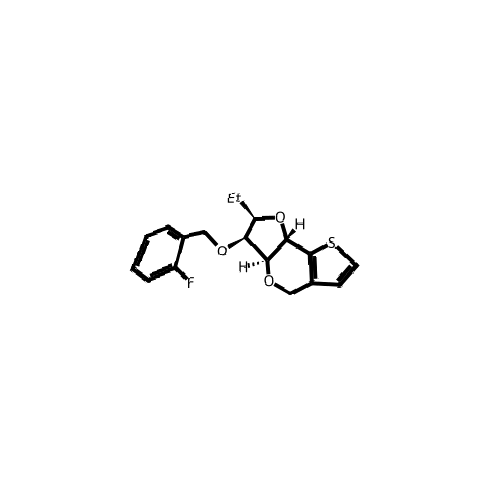 CC[C@H]1O[C@@H]2c3sccc3CO[C@H]2[C@H]1OCc1ccccc1F